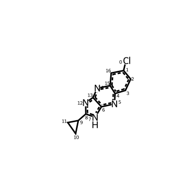 Clc1ccc2nc3[nH]c(C4CC4)nc3nc2c1